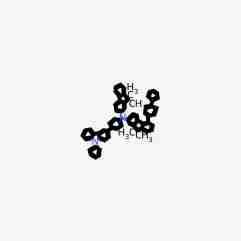 CC1(C)c2ccccc2-c2ccc(N(c3ccc(-c4ccc5c(c4)c4ccccc4n5-c4ccccc4)cc3)c3ccc4c(c3)C(C)(C)c3cccc(-c5ccc(-c6ccccc6)cc5)c3-4)cc21